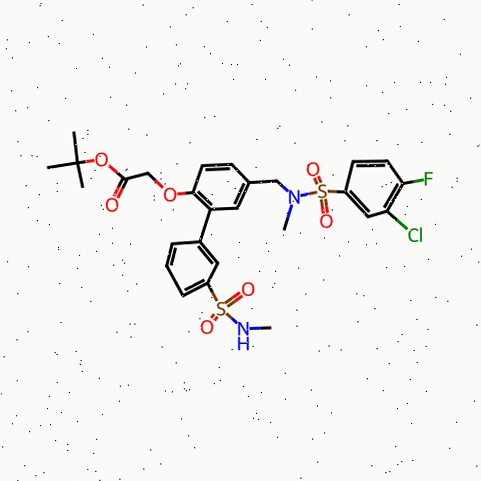 CNS(=O)(=O)c1cccc(-c2cc(CN(C)S(=O)(=O)c3ccc(F)c(Cl)c3)ccc2OCC(=O)OC(C)(C)C)c1